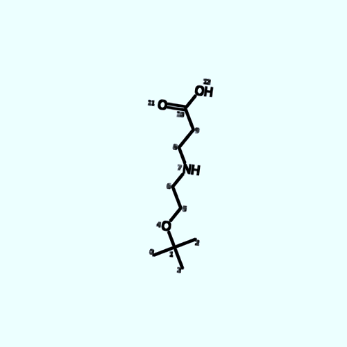 CC(C)(C)OCCNCCC(=O)O